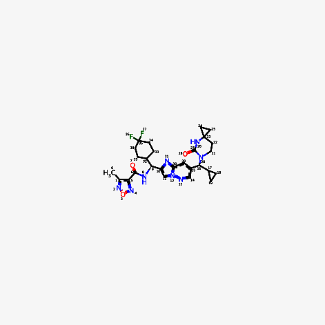 Cc1nonc1C(=O)N[C@H](c1cn2ncc(C(C3CC3)N3CCC4(CC4)NC3=O)cc2n1)C1CCC(F)(F)CC1